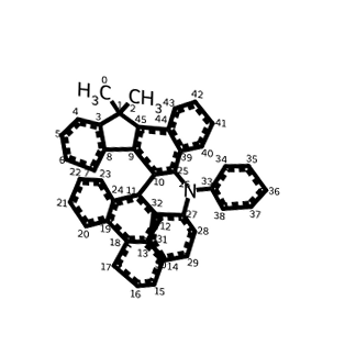 CC1(C)c2ccccc2-c2c(-c3cc4ccccc4c4ccccc34)c(N(c3ccccc3)c3ccccc3)c3ccccc3c21